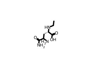 CCN[C@@H](CC(N)C(N)=O)C(=O)O